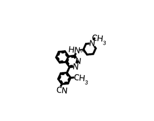 Cc1cc(C#N)ccc1-c1nnc(N[C@@H]2CCCN(C)C2)c2ccccc12